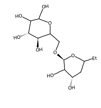 CCC1C[C@H](O)C(O)[C@@H](OCC2OC(O)C(O)[C@@H](O)[C@@H]2O)O1